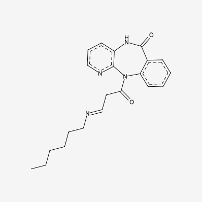 CCCCCCN=CCC(=O)N1c2ccccc2C(=O)Nc2cccnc21